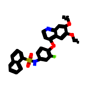 COc1cc2nccc(Oc3ccc(NS(=O)(=O)c4cccc5ccccc45)cc3F)c2cc1OC